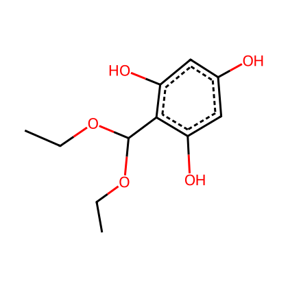 CCOC(OCC)c1c(O)cc(O)cc1O